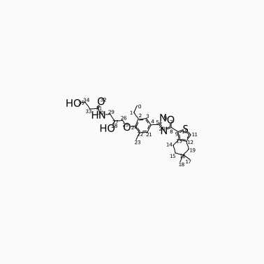 CCc1cc(-c2noc(-c3scc4c3CCC(C)(C)C4)n2)cc(C)c1OCC(O)CNC(=O)CCO